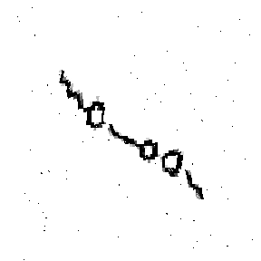 CCCCCC[C@H]1CC[C@H](C=CC#Cc2ccc([C@H]3CC[C@H](CCCC)CC3)cc2)CC1